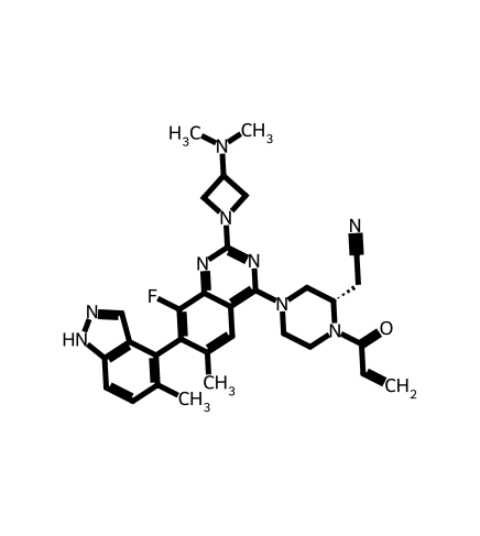 C=CC(=O)N1CCN(c2nc(N3CC(N(C)C)C3)nc3c(F)c(-c4c(C)ccc5[nH]ncc45)c(C)cc23)C[C@@H]1CC#N